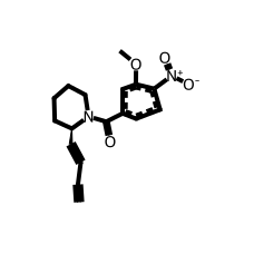 C#CC#C[C@H]1CCCCN1C(=O)c1ccc([N+](=O)[O-])c(OC)c1